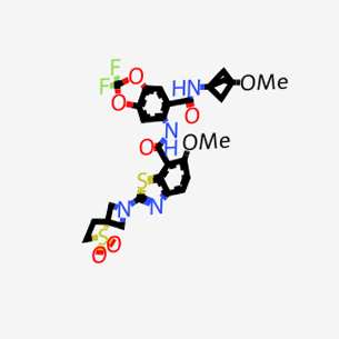 COc1ccc2nc(N3CC4(CCS4(=O)=O)C3)sc2c1C(=O)Nc1cc2c(cc1C(=O)NC13CC(OC)(C1)C3)OC(F)(F)O2